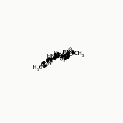 CCCS(=O)(=O)Nc1ccc(F)c(C(=O)Nc2cnc3[nH]c(-c4ccc(N5CCN(C)CC5)nc4)cc3c2)c1F